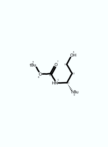 CCCC[C@@H](CCO)NC(=O)OC(C)(C)C